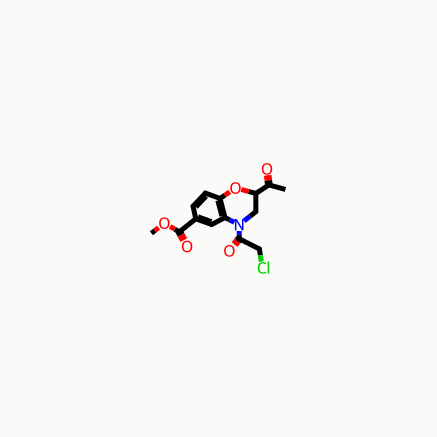 COC(=O)c1ccc2c(c1)N(C(=O)CCl)CC(C(C)=O)O2